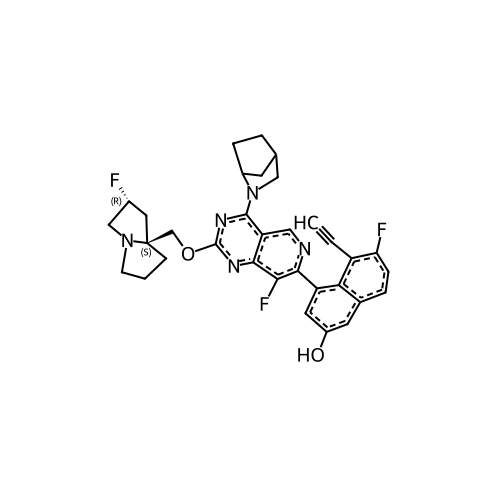 C#Cc1c(F)ccc2cc(O)cc(-c3ncc4c(N5CC6CCC5C6)nc(OC[C@@]56CCCN5C[C@H](F)C6)nc4c3F)c12